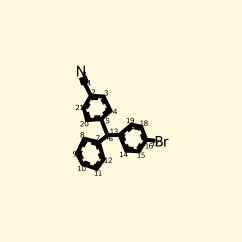 N#Cc1ccc([C](c2ccccc2)c2ccc(Br)cc2)cc1